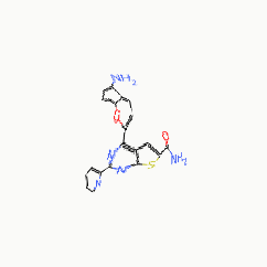 NC(=O)c1cc2c(-c3ccc4c(N)ccc-4o3)nc(-c3ccccn3)nc2s1